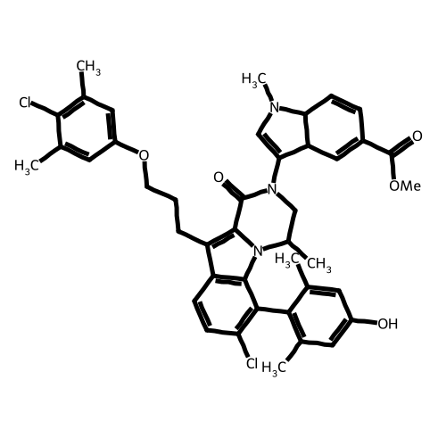 COC(=O)C1=CC2C(N3CC(C)n4c(c(CCCOc5cc(C)c(Cl)c(C)c5)c5ccc(Cl)c(-c6c(C)cc(O)cc6C)c54)C3=O)=CN(C)C2C=C1